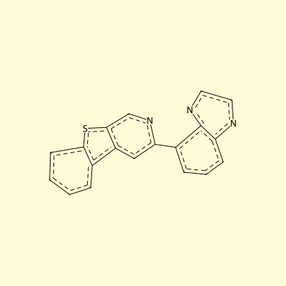 c1cc(-c2cc3c(cn2)sc2ccccc23)c2nccnc2c1